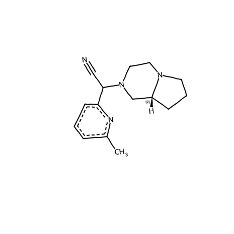 Cc1cccc(C(C#N)N2CCN3CCC[C@@H]3C2)n1